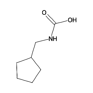 O=C(O)NCC1CCCC1